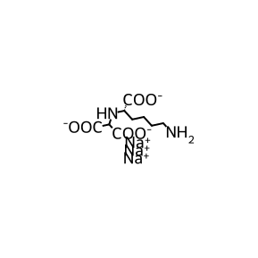 NCCCC[C@H](NC(C(=O)[O-])C(=O)[O-])C(=O)[O-].[Na+].[Na+].[Na+]